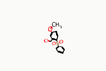 COc1ccc(S(=O)(=O)c2ccccc2)c(C=O)c1